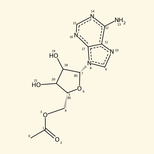 CC(=O)OC[C@H]1O[C@@H](n2cnc3c(N)ncnc32)C(O)C1O